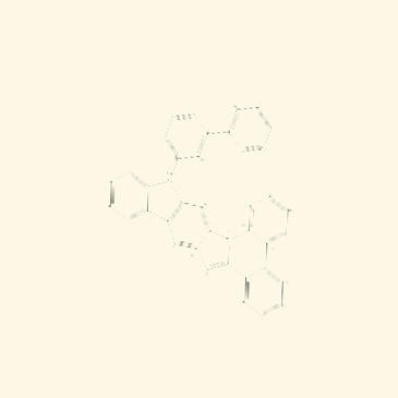 c1cncc(-c2cccc(-n3c4ccccc4c4cc5cc6c7ccccc7c7ccccc7n6c5cc43)c2)c1